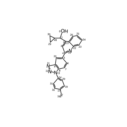 OC(c1cc(-c2ccc3c(c2)nnn3-c2ccc(F)cc2)nc2ccccc12)C1CC1